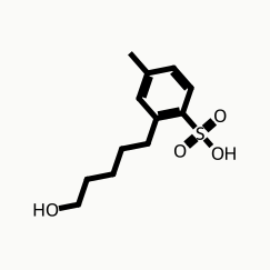 Cc1ccc(S(=O)(=O)O)c(CCCCCO)c1